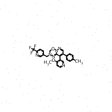 COc1ccncc1C1=C(c2ccc(C)cc2)C=NN2OCN(Cc3ccc(C(F)(F)F)nc3)N=C12